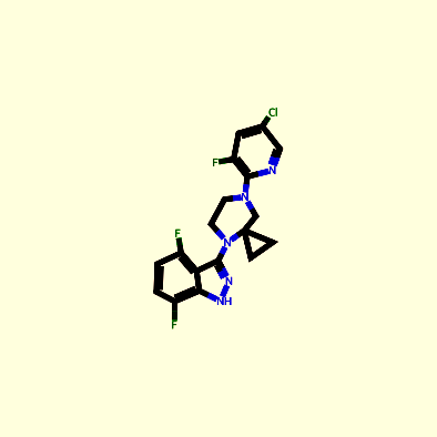 Fc1cc(Cl)cnc1N1CCN(c2n[nH]c3c(F)ccc(F)c23)C2(CC2)C1